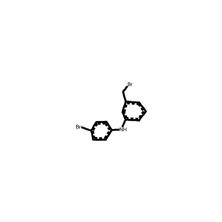 BrCc1cccc(Nc2ccc(Br)cc2)c1